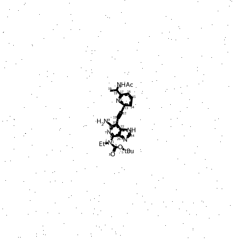 CCN(C(=O)OC(C)(C)C)c1nc(N)c(C#Cc2cccc(C(C)NC(C)=O)n2)c2[nH]cnc12